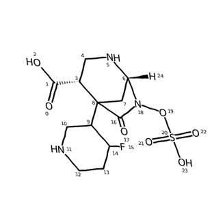 O=C(O)[C@@H]1CN[C@H]2CC1(C1CNCCC1F)C(=O)N2OS(=O)(=O)O